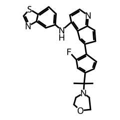 CC(C)(c1ccc(-c2ccc3nccc(Nc4ccc5scnc5c4)c3c2)c(F)c1)N1CCOCC1